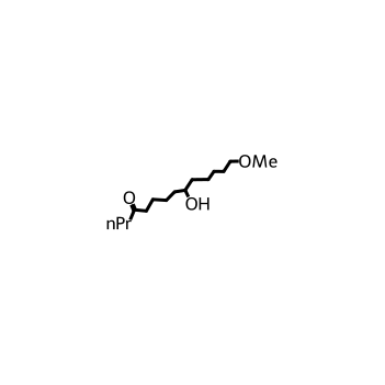 CCCC(=O)CCCCC(O)CCCCCOC